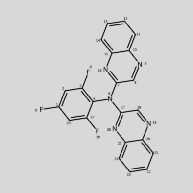 Fc1cc(F)c(N(c2cnc3ccccc3n2)c2cnc3ccccc3n2)c(F)c1